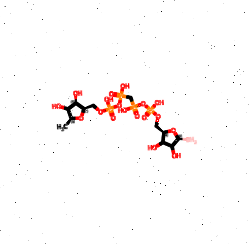 B[C@@H]1O[C@H](COP(=O)(O)OP(=O)(O)CP(=O)(O)OP(=O)(O)OC[C@H]2O[C@@H](C)C(O)[C@H]2O)C(O)C1O